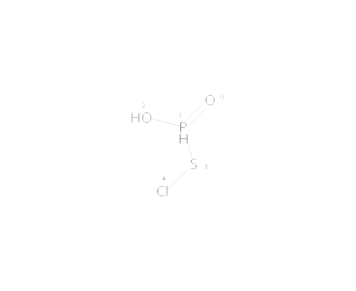 O=[PH](O)SCl